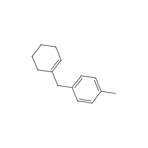 Cc1ccc(CC2=CCCCC2)cc1